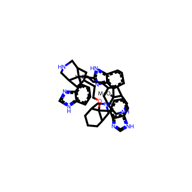 COC1(c2cccc3[nH]c(C)nc23)C2CNCC1CC(CCCC1(c3cccc4[nH]cnc34)C3CNCC1CC(CCOC1(c4cccc5[nH]cnc45)C4CCCC1CNC4)C3)C2